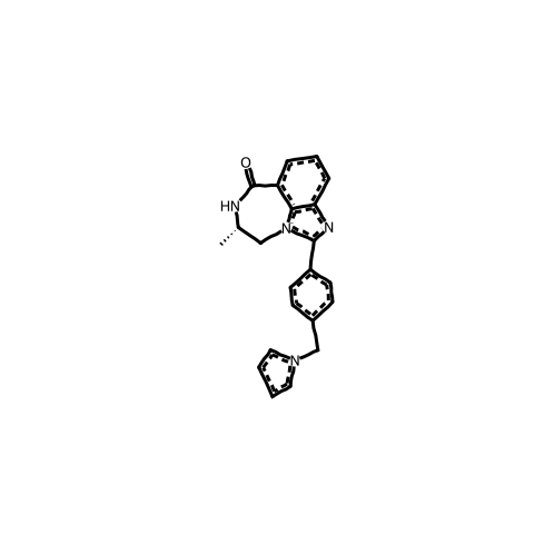 C[C@H]1Cn2c(-c3ccc(Cn4cccc4)cc3)nc3cccc(c32)C(=O)N1